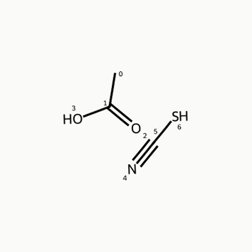 CC(=O)O.N#CS